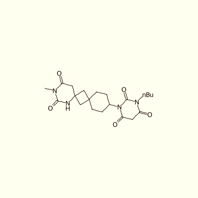 CCCCN1C(=O)CC(=O)N(C2CCC3(CC2)CC2(CC(=O)N(C)C(=O)N2)C3)C1=O